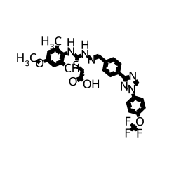 COc1cc(C)c(NC(N/N=C/c2ccc(-c3ncn(-c4ccc(OC(F)(F)F)cc4)n3)cc2)SCC(=O)O)c(C)c1